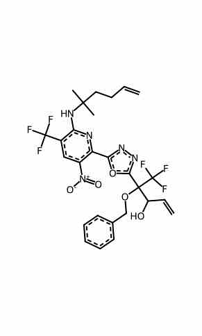 C=CCCC(C)(C)Nc1nc(-c2nnc(C(OCc3ccccc3)(C(O)C=C)C(F)(F)F)o2)c([N+](=O)[O-])cc1C(F)(F)F